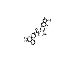 Cc1cc(CC(NC(=O)N2CCC3(CC2)CC(=O)Nc2ccccc23)C(=O)N(C)C)cc2cn[nH]c12